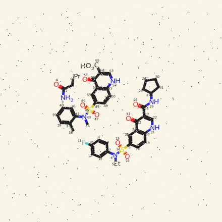 CC(C)CC(N)=O.CCN(c1ccc(F)cc1)S(=O)(=O)c1ccc2[nH]cc(C(=O)NC3CCCC3)c(=O)c2c1.Cc1ccccc1N(C)S(=O)(=O)c1ccc2[nH]cc(C(=O)O)c(=O)c2c1